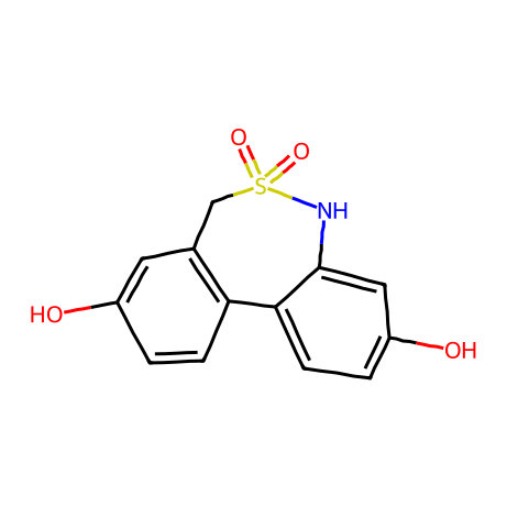 O=S1(=O)Cc2cc(O)ccc2-c2ccc(O)cc2N1